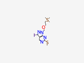 CSc1ncc2c(I)nn(COCCS(C)(C)C)c2n1